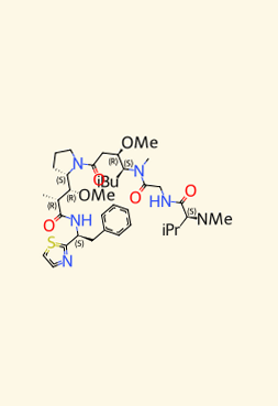 CCC(C)[C@@H]([C@@H](CC(=O)N1CCC[C@H]1[C@H](OC)[C@@H](C)C(=O)N[C@@H](Cc1ccccc1)c1nccs1)OC)N(C)C(=O)CNC(=O)[C@@H](NC)C(C)C